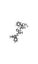 C[C@H](NCCC(=O)NCCc1c[nH]c2ccccc12)c1ccccc1